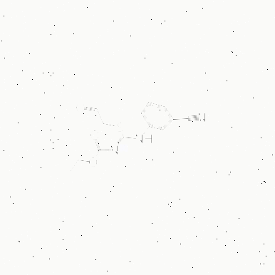 CCOC(=O)/N=C(/Nc1cccc(C#N)c1)SCC=O